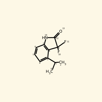 CC(C)c1cccc2c1C(F)(F)C(=O)N2